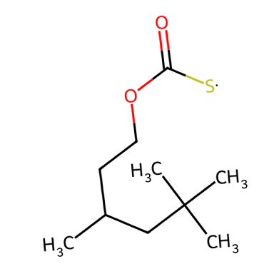 CC(CCOC(=O)[S])CC(C)(C)C